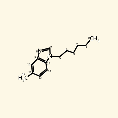 CCCCCCn1cnc2cc(C)ccc21